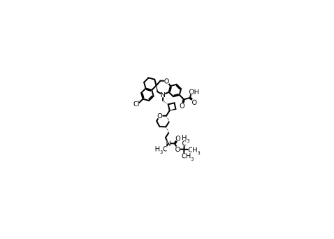 CN(CC[C@@H]1CCO[C@H]([C@@H]2CC[C@H]2CN2C[C@@]3(CCCc4cc(Cl)ccc43)COc3ccc(C(=O)C(=O)O)cc32)C1)C(=O)OC(C)(C)C